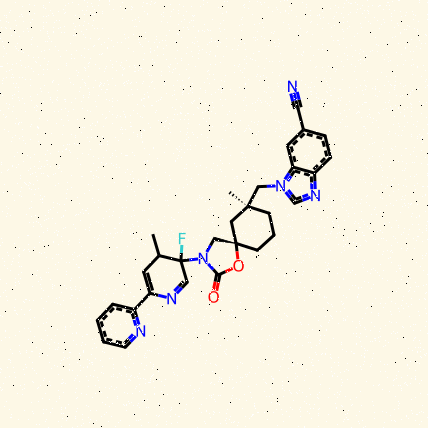 CC1C=C(c2ccccn2)N=CC1(F)N1C[C@@]2(CCC[C@](C)(Cn3cnc4ccc(C#N)cc43)C2)OC1=O